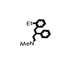 CCc1ccccc1CC(CCNC)c1ccccc1